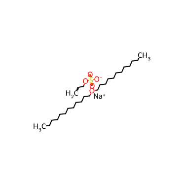 C=CCOS(=O)(=O)[O-].CCCCCCCCCCCCOCCCCCCCCCCCC.[Na+]